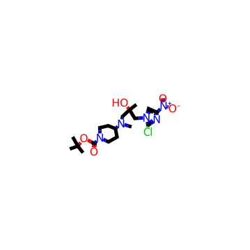 CN(CC(C)(O)Cn1cc([N+](=O)[O-])nc1Cl)C1CCN(C(=O)OC(C)(C)C)CC1